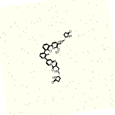 CCOc1nc(-c2cccc(-c3cccc(-c4ccn5c(=O)c(CNC[C@@H]6CCC(=O)N6)cnc5c4)c3C)c2Cl)ccc1CNC[C@@H]1CCC(=O)N1